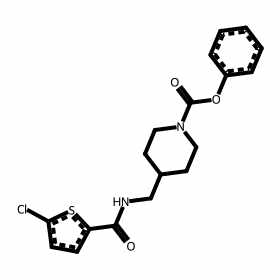 O=C(NCC1CCN(C(=O)Oc2ccccc2)CC1)c1ccc(Cl)s1